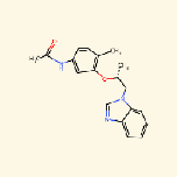 CC(=O)Nc1ccc(C)c(O[C@H](C)Cn2cnc3ccccc32)c1